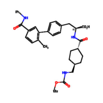 Cc1ccc(C(=O)NC(C)C)cc1-c1ccc(C[C@H](NC(=O)[C@H]2CC[C@H](CNC(=O)OC(C)(C)C)CC2)C(=O)O)cc1